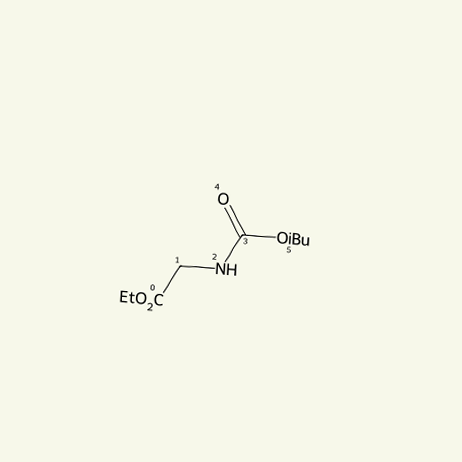 CCOC(=O)CNC(=O)OCC(C)C